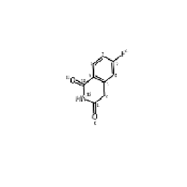 O=C1Cc2cc(F)ccc2C(=O)N1